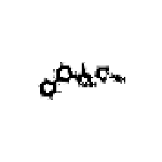 N#CN1CC[C@@H](c2[nH]nc(-c3cccc(-c4ccccc4)c3)c2F)C1